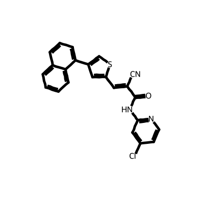 N#C/C(=C\c1cc(-c2cccc3ccccc23)cs1)C(=O)Nc1cc(Cl)ccn1